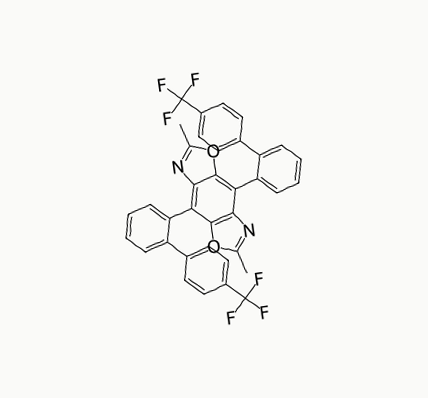 Cc1nc2c(-c3ccccc3-c3ccc(C(F)(F)F)cc3)c3oc(C)nc3c(-c3ccccc3-c3ccc(C(F)(F)F)cc3)c2o1